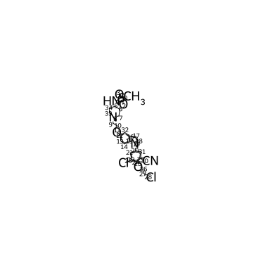 CS(=O)(=O)NC1CCN(CCOc2ccc3c(ccn3-c3cc(Cl)c(OCCCl)c(C#N)c3)c2)CC1